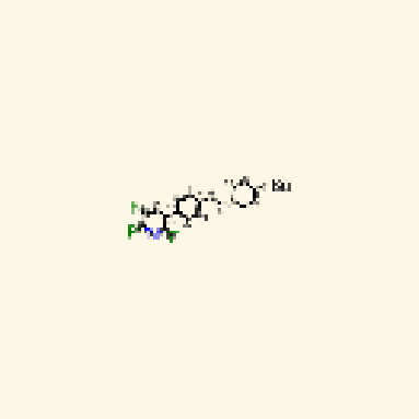 CCCC[C@H]1CC[C@H](CCc2ccc(-c3cc(F)c(F)nc3F)cc2)CC1